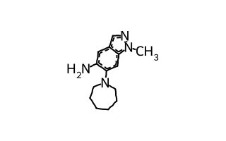 Cn1ncc2cc(N)c(N3CCCCCC3)cc21